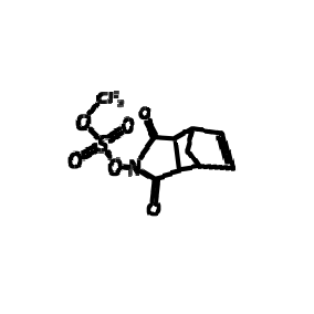 O=C1C2C3C=CC(C3)C2C(=O)N1OS(=O)(=O)OC(F)(F)F